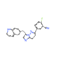 N#Cc1cc(-c2ccc3ncc(Cc4ccc5ncccc5c4)n3n2)ccc1F